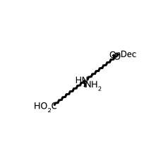 CCCCCCCCCCOC(=O)CCCCCCCCCCCCCCCNC(CCCCCCCCCCCCCCCC(=O)O)C(C)N